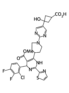 COC(=O)C1=C(C2CCN(c3ncc(C4(O)CC(C(=O)O)C4)cn3)CC2)NC(c2nccs2)=NC1c1ccc(F)c(F)c1Cl